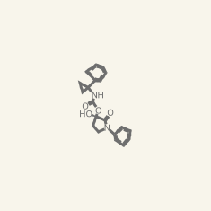 O=C(NC1(c2ccccc2)CC1)O[C@@]1(O)CCN(c2ccccc2)C1=O